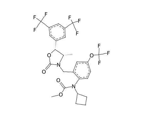 COC(=O)N(c1ccc(OC(F)(F)F)cc1CN1C(=O)O[C@H](c2cc(C(F)(F)F)cc(C(F)(F)F)c2)[C@@H]1C)C1CCC1